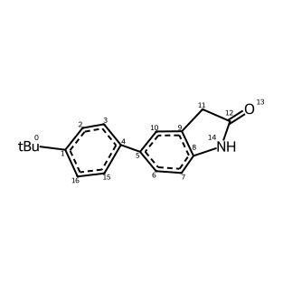 CC(C)(C)c1ccc(-c2ccc3c(c2)CC(=O)N3)cc1